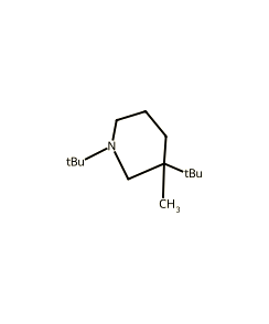 CC(C)(C)N1CCCC(C)(C(C)(C)C)C1